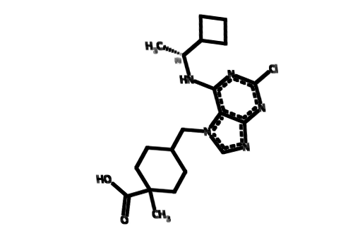 C[C@@H](Nc1nc(Cl)nc2ncn(CC3CCC(C)(C(=O)O)CC3)c12)C1CCC1